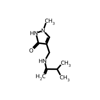 C=C(NCc1cn(C)[nH]c1=O)C(C)C